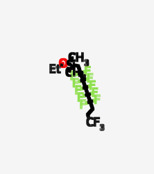 CCO[Si](C)(C)CC(F)(F)C(F)(F)C(F)(F)C(F)(F)C(F)(F)CCC(F)(F)F